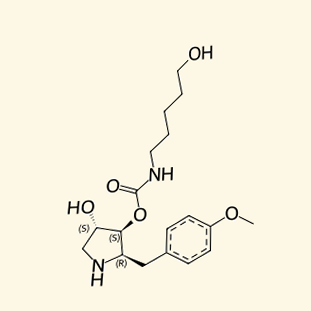 COc1ccc(C[C@H]2NC[C@H](O)[C@H]2OC(=O)NCCCCCO)cc1